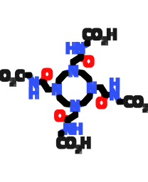 O=C(O)CNC(=O)CN1CCN(CC(=O)NCC(=O)O)CCN(CC(=O)NCC(=O)O)CCN(CC(=O)NCC(=O)O)CC1